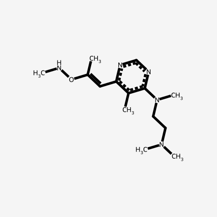 CNO/C(C)=C/c1ncnc(N(C)CCN(C)C)c1C